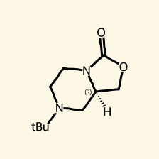 CC(C)(C)N1CCN2C(=O)OC[C@H]2C1